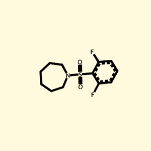 O=S(=O)(c1c(F)cccc1F)N1CCCCCC1